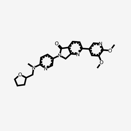 COc1cc(-c2ccc3c(n2)CN(c2ccc(N(C)CC4CCCO4)nc2)C3=O)cnc1OC